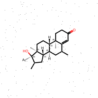 CC(=O)[C@@]1(O)C(C)C[C@H]2[C@@H]3CC(C)C4=CC(=O)CC[C@]4(C)[C@H]3CC[C@@]21C